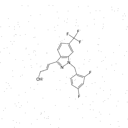 OCC=Cc1nn(Cc2ccc(F)cc2F)c2cc(C(F)(F)F)ccc12